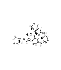 COc1cc(Nc2nccc(Nc3cnc4c(c3)CCCO4)n2)ccc1OCCCN1CCCCC1